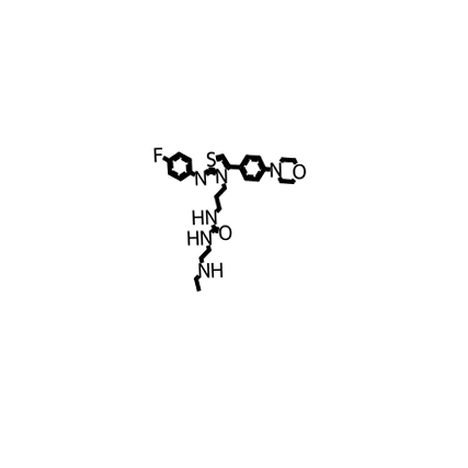 CCNCCNC(=O)NCCCn1c(-c2ccc(N3CCOCC3)cc2)cs/c1=N\c1ccc(F)cc1